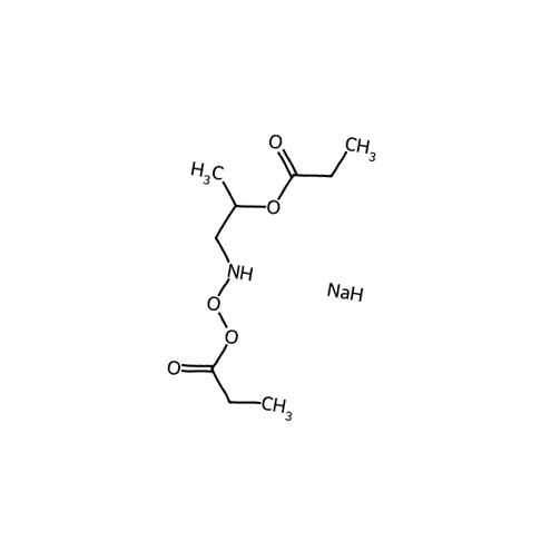 CCC(=O)OONCC(C)OC(=O)CC.[NaH]